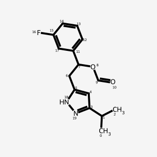 CC(C)c1cc(CC(OC=O)c2cccc(F)c2)[nH]n1